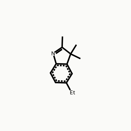 CCc1ccc2c(c1)C(C)(C)C(C)=N2